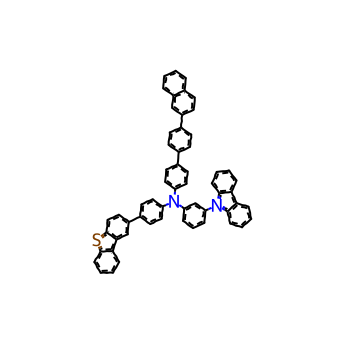 c1cc(N(c2ccc(-c3ccc(-c4ccc5ccccc5c4)cc3)cc2)c2ccc(-c3ccc4sc5ccccc5c4c3)cc2)cc(-n2c3ccccc3c3ccccc32)c1